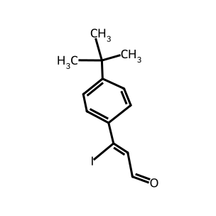 CC(C)(C)c1ccc(/C(I)=C/C=O)cc1